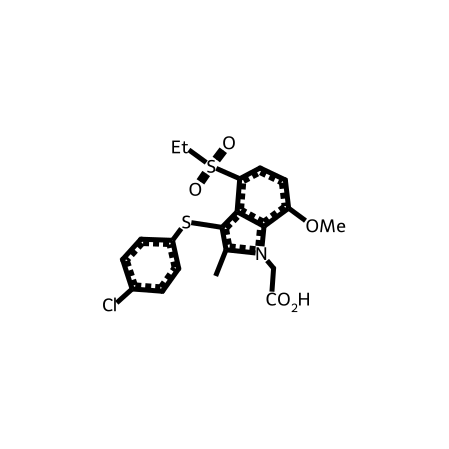 CCS(=O)(=O)c1ccc(OC)c2c1c(Sc1ccc(Cl)cc1)c(C)n2CC(=O)O